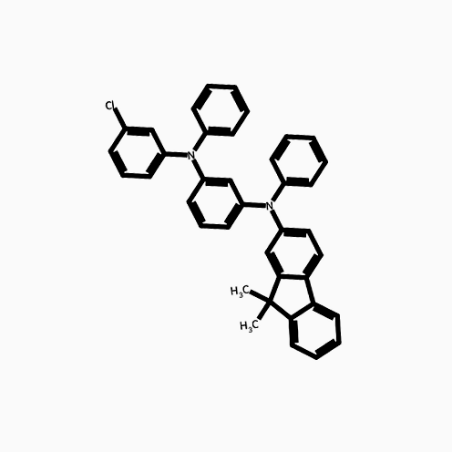 CC1(C)c2ccccc2-c2ccc(N(c3ccccc3)c3cccc(N(c4ccccc4)c4cccc(Cl)c4)c3)cc21